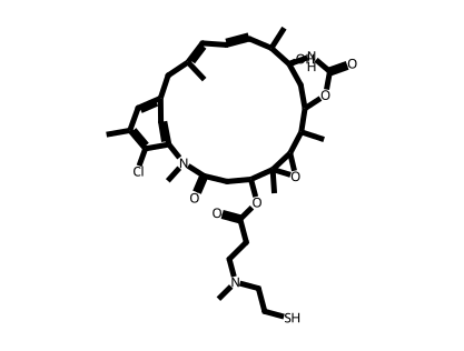 C/C1=C\C=C\C(C)C2(O)CC(OC(=O)N2)C(C)C2OC2(C)C(OC(=O)CCN(C)CCS)CC(=O)N(C)c2cc(cc(C)c2Cl)C1